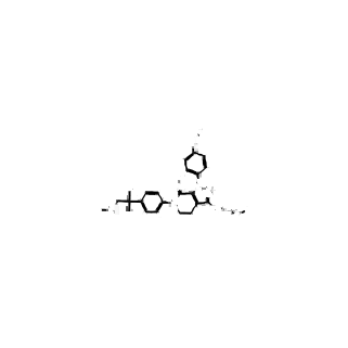 CNCC(C)(C)c1ccc(N2CCc3c(SOOC)nn(-c4ccc(OC)cc4)c3C2=O)cc1